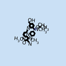 Cn1c(=O)c(C#N)c(N(C)[C@H]2CC[C@@H](/C(=N/OC(C)(C)C)c3ccc(CO)cc3)CC2)c2nc(C#N)ccc21